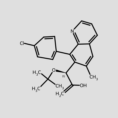 C=C(O)[C@@H](OC(C)(C)C)c1c(C)cc2cccnc2c1-c1ccc(Cl)cc1